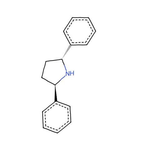 c1ccc([C@H]2CC[C@H](c3ccccc3)N2)cc1